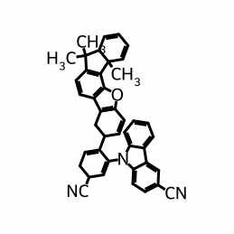 CC1(C)c2ccc3c4c(oc3c2C2(C)C=CC=CC12)C=CC(C1=CCC(C#N)C=C1n1c2ccccc2c2cc(C#N)ccc21)C4